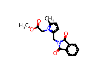 COC(=O)Cn1c(C)ccc1CN1C(=O)c2ccccc2C1=O